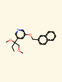 CCC(COC)(OC)c1cncc(OCc2ccc3ccccc3c2)c1